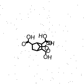 O=C(O)C1CC2C(C(=O)O)C(C(=O)O)C1C2C(=O)O